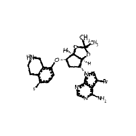 CC1(C)O[C@@H]2[C@H](O1)[C@@H](Oc1ccc(F)c3c1CNCC3)C[C@H]2n1cc(Br)c2c(N)ncnc21